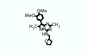 COc1ccc(-c2c(C)nn3c(NCC4CCCO4)nc(C)nc23)cc1OC